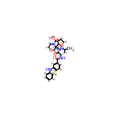 CC(C)C[C@H](NC(=O)c1ccc2c(c1)Nc1ccccc1S2)C(=O)N[C@@]1(C2CCCO2)COCCN1C(=O)O